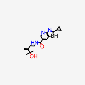 C=C(CCNC(=O)c1cnc2c(c1)BC(C1CC1)=N2)C(C)(C)O